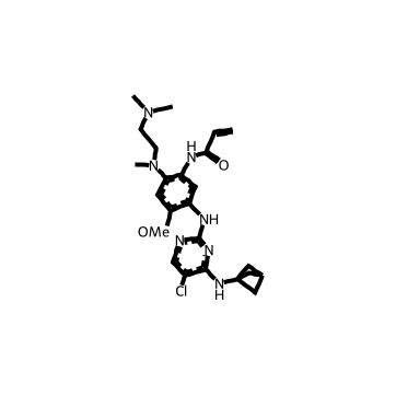 C=CC(=O)Nc1cc(Nc2ncc(Cl)c(NC34CC(C3)C4)n2)c(OC)cc1N(C)CCN(C)C